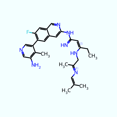 CC/C(=C/C(=N)Nc1cc2cc(-c3cncc(N)c3C)c(F)cc2cn1)NC/C(C)=N/C=C(C)C